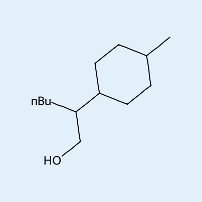 CCCCC(CO)C1CCC(C)CC1